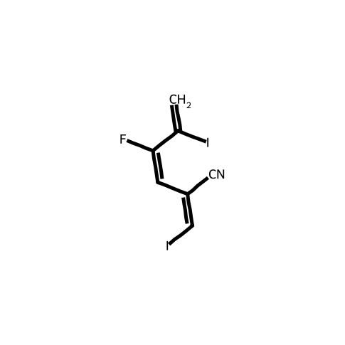 C=C(I)/C(F)=C\C(C#N)=C/I